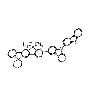 CC1(C)c2cc(-c3ccc4c(c3)c3ccccc3n4-c3ccc4c(c3)sc3ccccc34)ccc2-c2cc3c(cc21)-c1ccccc1C31CCCCC1